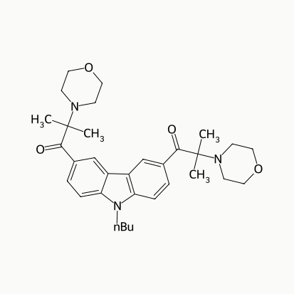 CCCCn1c2ccc(C(=O)C(C)(C)N3CCOCC3)cc2c2cc(C(=O)C(C)(C)N3CCOCC3)ccc21